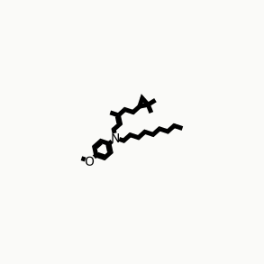 CCCCCCCCCN(C/C=C(\C)CCC1CC1(C)C)c1ccc(OC)cc1